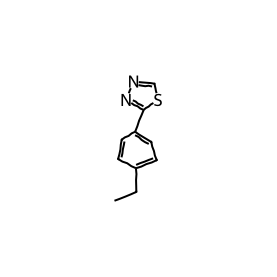 CCc1ccc(-c2nncs2)cc1